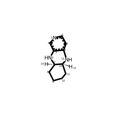 c1cc2c(cn1)N[C@@H]1CCCC[C@@H]1N2